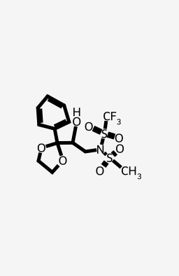 CS(=O)(=O)N(CC(O)C1(c2ccccc2)OCCO1)S(=O)(=O)C(F)(F)F